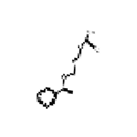 CCCC(=O)OCCCOC(=O)c1ccccc1